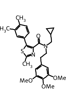 COc1cc(CCN(CC2CC2)C(=O)c2nc(C)sc2-c2ccc(C)c(C)c2)cc(OC)c1OC